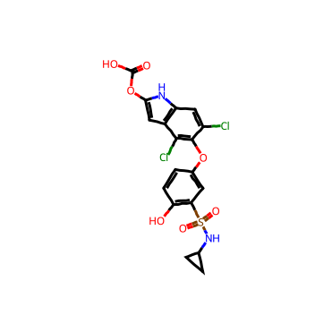 O=C(O)Oc1cc2c(Cl)c(Oc3ccc(O)c(S(=O)(=O)NC4CC4)c3)c(Cl)cc2[nH]1